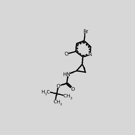 CC(C)(C)OC(=O)NC1CC1c1ncc(Br)cc1Cl